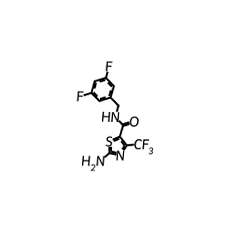 Nc1nc(C(F)(F)F)c(C(=O)NCc2cc(F)cc(F)c2)s1